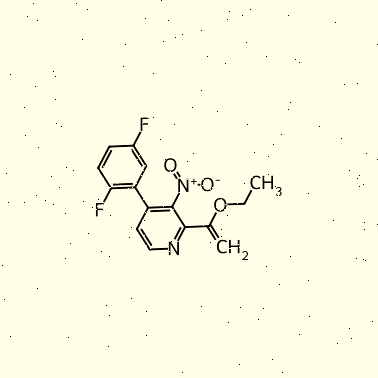 C=C(OCC)c1nccc(-c2cc(F)ccc2F)c1[N+](=O)[O-]